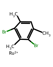 Cc1cc(C)c(Br)c(C)c1Br.[Ru+2]